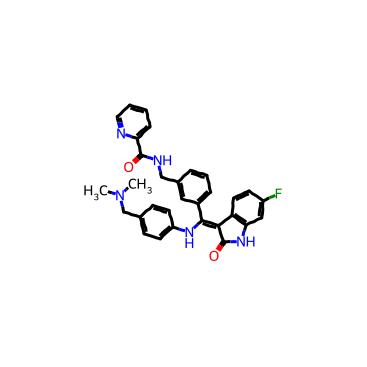 CN(C)Cc1ccc(N/C(=C2\C(=O)Nc3cc(F)ccc32)c2cccc(CNC(=O)c3ccccn3)c2)cc1